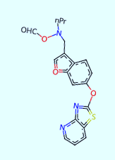 CCCN(Cc1coc2cc(Oc3nc4ncccc4s3)ccc12)OC=O